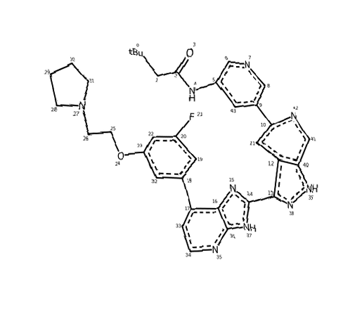 CC(C)(C)CC(=O)Nc1cncc(-c2cc3c(-c4nc5c(-c6cc(F)cc(OCCN7CCCC7)c6)ccnc5[nH]4)n[nH]c3cn2)c1